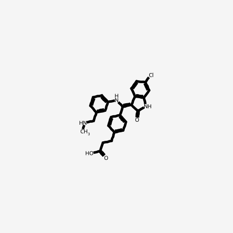 CNCc1cccc(NC(=C2C(=O)Nc3cc(Cl)ccc32)c2ccc(CCC(=O)O)cc2)c1